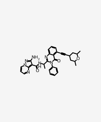 CC1CC(C#Cc2cccc3nc(C(C)NC(=O)c4c(N)nn5cccnc45)n(-c4ccccc4)c(=O)c23)CC(C)O1